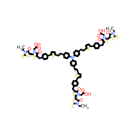 CCN1C(=O)/C(=c2/s/c(=C/c3ccc(-c4ccc(/C=C/c5ccc(N(c6ccc(/C=C/c7ccc(-c8ccc(/C=c9/s/c(=C%10\SC(=S)N(CC)C%10=O)n(CC(=O)O)c9=O)cc8)s7)cc6)c6ccc(/C=C/c7ccc(-c8ccc(/C=c9/s/c(=C%10\SC(=S)N(CC)C%10=O)n(CC(=O)O)c9=O)cc8)s7)cc6)cc5)s4)cc3)c(=O)n2CC(=O)O)SC1=S